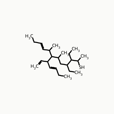 C=CC(C=CCC)C(C(C)C=CCC)C(C)CC(CC)C(CC)C(C)S